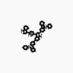 c1ccc(-n2c3ccccc3c3cc(-c4ccc5nc(-c6ccc7c(c6)c6ccccc6n7-c6ccccc6)cc(-c6ccc(-c7ccnc8ccccc78)nc6)c5c4)ccc32)cc1